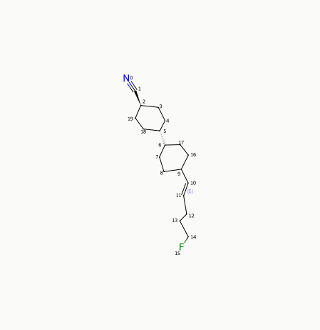 N#C[C@H]1CC[C@H](C2CCC(/C=C/CCCF)CC2)CC1